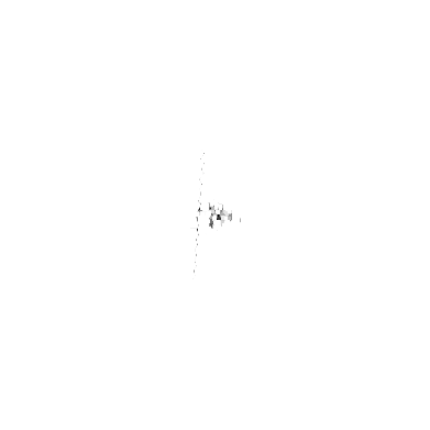 CCCCCCCCCCCCCOCCCCCCCCCCCCC.O=C(O)CC(C(=O)O)S(=O)(=O)O.[NaH]